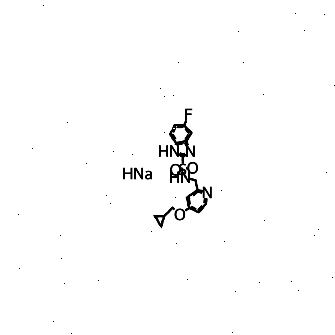 O=S(=O)(NCc1cc(OCC2CC2)ccn1)c1nc2cc(F)ccc2[nH]1.[NaH]